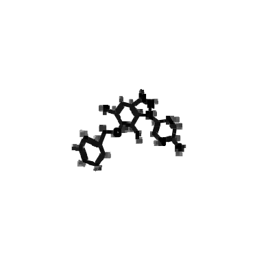 Fc1cc2nnn(-c3cnc(Br)cn3)c2c(F)c1OCc1ccccc1